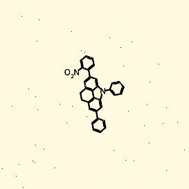 O=[N+]([O-])c1ccccc1-c1cc2c3c4c(cc(-c5ccccc5)cc4n(-c4ccccc4)c3c1)CC2